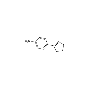 O=[N+]([O-])c1ccc(C2=CCCC2)cc1